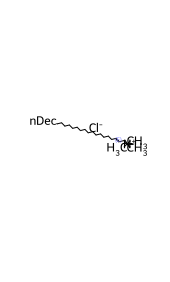 CCCCCCCCCCCCCCCCCCCCCCCCC/C=C/C[N+](C)(C)C.[Cl-]